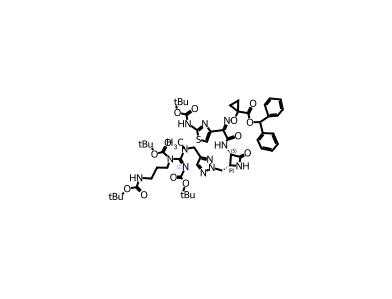 CN(Cc1cnn(C[C@H]2NC(=O)[C@H]2NC(=O)C(=NOC2(C(=O)OC(c3ccccc3)c3ccccc3)CC2)c2csc(NC(=O)OC(C)(C)C)n2)n1)/C(=N/C(=O)OC(C)(C)C)N(CCCNC(=O)OC(C)(C)C)C(=O)OC(C)(C)C